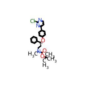 CN(CC[C@H](Oc1ccc(-c2ccnc(Cl)n2)cc1)c1ccccc1)C(=O)OC(C)(C)C